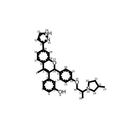 CC1=C(c2cccc(O)c2)C(c2ccc(OCC(C)N3CCC(C)C3)cc2)Oc2cc(-c3cc[nH]n3)ccc21